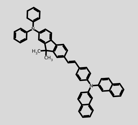 CC1(C)c2cc(/C=C/c3ccc(N(c4ccc5ccccc5c4)c4ccc5ccccc5c4)cc3)ccc2-c2ccc(N(C3=CC=CCC3)c3ccccc3)cc21